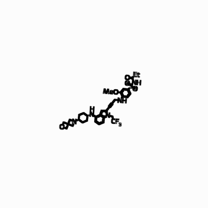 CCC(=O)NS(=O)(=O)c1ccc(NCC#Cc2cc3c(N[C@H]4CC[C@H](N5CC6(COC6)C5)CC4)cccc3n2CC(F)(F)F)c(OC)c1